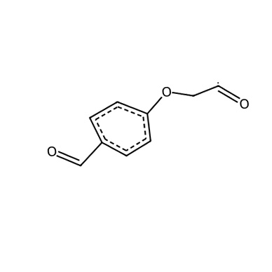 O=[C]COc1ccc(C=O)cc1